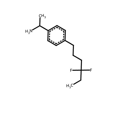 CCC(F)(F)CCCc1ccc(C(C)N)cc1